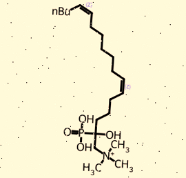 CCCC/C=C\CCCCC/C=C\CCCC(O)(C[N+](C)(C)C)P(=O)(O)O